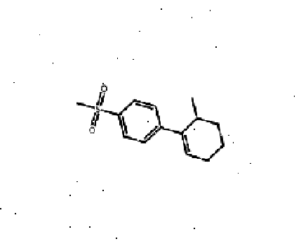 CC1CCCC=C1c1ccc(S(C)(=O)=O)cc1